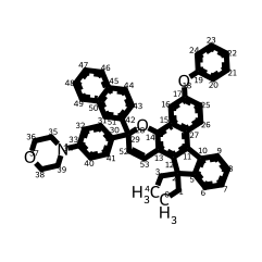 CCC1(CC)c2ccccc2-c2c1c1c(c3cc(Oc4ccccc4)ccc23)OC(c2ccc(N3CCOCC3)cc2)(c2ccc3ccccc3c2)C=C1